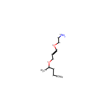 COCCC(C)OC/C=C/OCCN